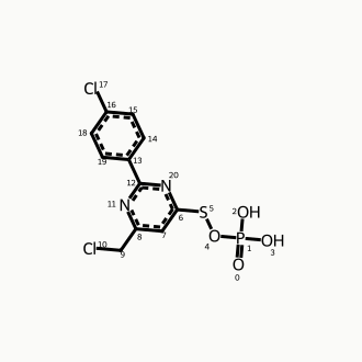 O=P(O)(O)OSc1cc(CCl)nc(-c2ccc(Cl)cc2)n1